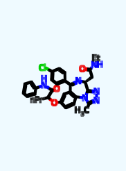 CCCC(Oc1ccc2c(c1)C(c1ccc(Cl)cc1)=N[C@@H](CC(=O)NCC)c1nnc(C)n1-2)C(=O)Nc1ccccc1